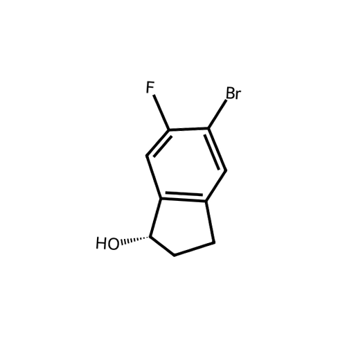 O[C@H]1CCc2cc(Br)c(F)cc21